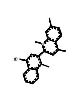 Cc1ccc2c(C)cc(-c3cc(C(C)(C)C)c4ccccc4c3C)[n+](C)c2c1